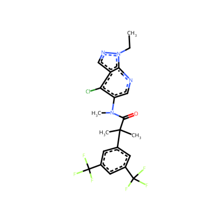 CCn1ncc2c(Cl)c(N(C)C(=O)C(C)(C)c3cc(C(F)(F)F)cc(C(F)(F)F)c3)cnc21